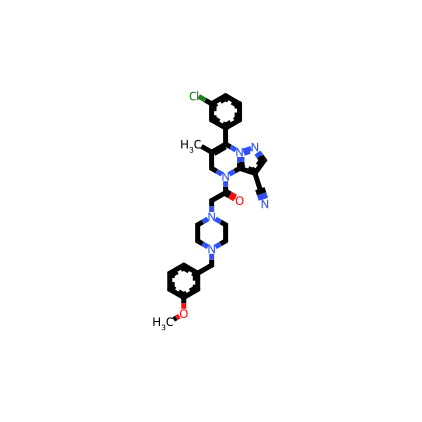 COc1cccc(CN2CCN(CC(=O)N3CC(C)=C(c4cccc(Cl)c4)n4ncc(C#N)c43)CC2)c1